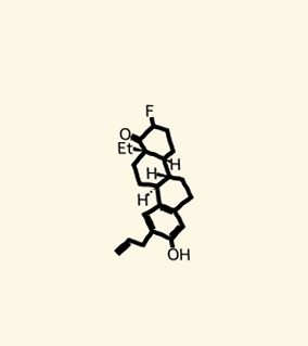 C=CCc1cc2c(cc1O)CC[C@@H]1[C@@H]2CC[C@]2(CC)C(=O)C(F)CC[C@@H]12